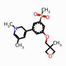 CC1=CN(C)CC(c2cc(OCC3(C)COC3)cc(S(C)(=O)=O)c2)=C1